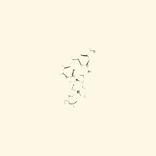 CCC[C@]1(n2cn[nH]c2=O)CC[C@@](CO[C@H](C)c2cc(CF)cc(CF)c2)(c2ccccc2)NC1